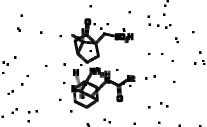 CC1(C)C2CCC1(CS(=O)(=O)O)C(=O)C2.CCC(=O)NC1C2CCN(CC2)[C@H]1N